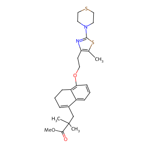 COC(=O)C(C)(C)CC1=CCCc2c(OCCc3nc(N4CCSCC4)sc3C)cccc21